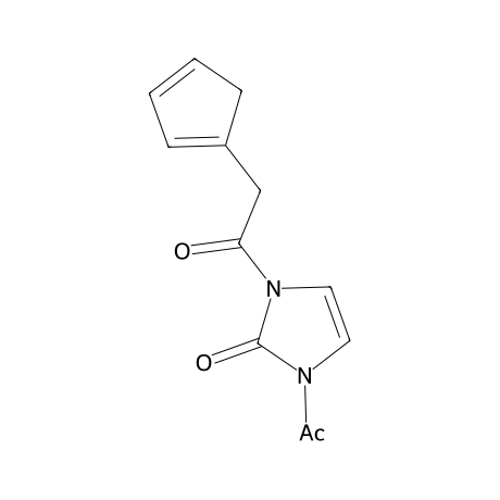 CC(=O)n1ccn(C(=O)CC2=CC=CC2)c1=O